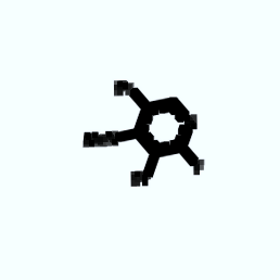 CNc1c(C(C)C)cnc(F)c1C(C)C